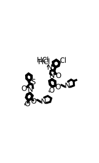 COc1ccc(N2Cc3c(c4cc(Cl)ccc4n3C)C2=O)cc1OCCN1CCC(C)CC1.COc1ccc(N2Cc3sc4ccccc4c3C2=O)cc1OCCN1CCCCC1.Cl.Cl